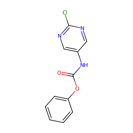 O=C(Nc1cnc(Cl)nc1)Oc1ccccc1